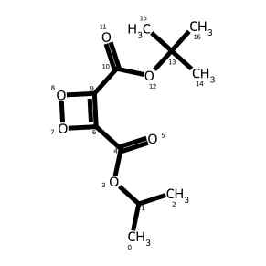 CC(C)OC(=O)c1ooc1C(=O)OC(C)(C)C